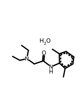 CCN(CC)CC(=O)Nc1c(C)cccc1C.O